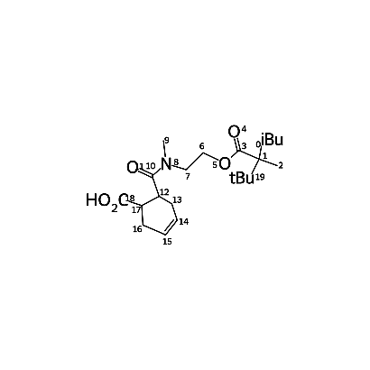 CCC(C)C(C)(C(=O)OCCN(C)C(=O)C1CC=CCC1C(=O)O)C(C)(C)C